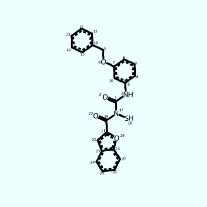 O=C(Nc1cccc(OCc2ccccc2)c1)N(S)C(=O)c1cc2ccccc2o1